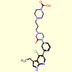 CCc1c[nH]c2ncc(-c3cccc(N4CCN(CCCN5CCN(C(=O)O)CC5)CC4=O)c3)c(Cl)c12